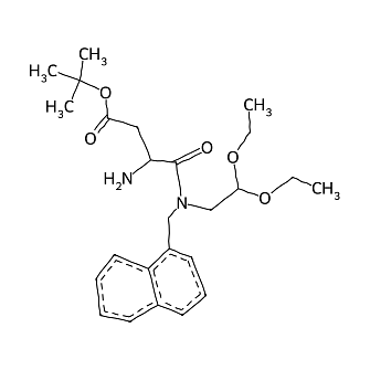 CCOC(CN(Cc1cccc2ccccc12)C(=O)C(N)CC(=O)OC(C)(C)C)OCC